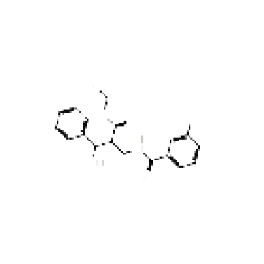 CCOC(=O)C(CNC(=O)c1cccc(C)c1)C(O)c1ccccc1